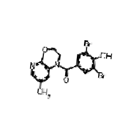 Cc1cnc2c(c1)N(C(=O)c1cc(Br)c(O)c(Br)c1)CCO2